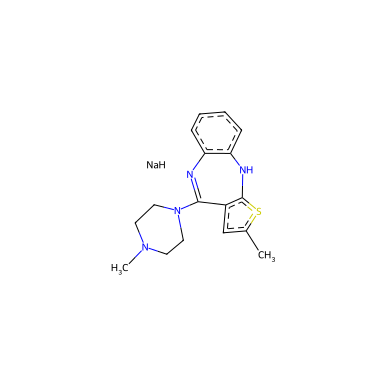 Cc1cc2c(s1)Nc1ccccc1N=C2N1CCN(C)CC1.[NaH]